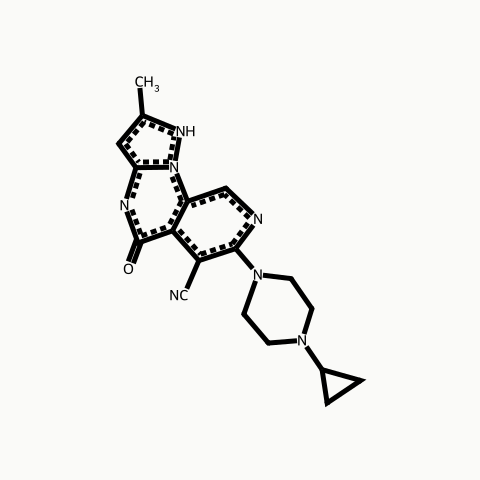 Cc1cc2nc(=O)c3c(C#N)c(N4CCN(C5CC5)CC4)ncc3n2[nH]1